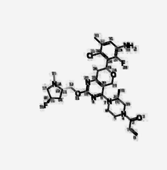 C=CC(=O)N1CCN(c2nc(OC[C@@H]3C[C@@H](F)CN3C)nc3c2COC(c2c(F)c(N)cc(C)c2Cl)C3)[C@@H](C)C1